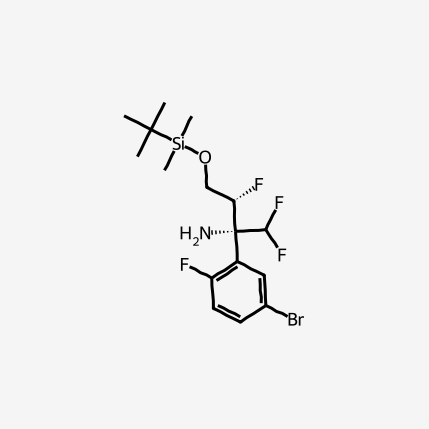 CC(C)(C)[Si](C)(C)OC[C@H](F)[C@](N)(c1cc(Br)ccc1F)C(F)F